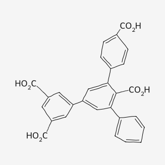 O=C(O)c1ccc(-c2cc(-c3cc(C(=O)O)cc(C(=O)O)c3)cc(-c3ccccc3)c2C(=O)O)cc1